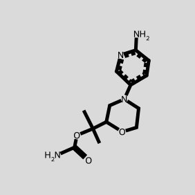 CC(C)(OC(N)=O)C1CN(c2ccc(N)nc2)CCO1